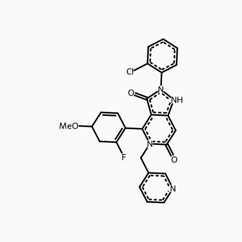 COC1C=CC(c2c3c(=O)n(-c4ccccc4Cl)[nH]c3cc(=O)n2Cc2cccnc2)=C(F)C1